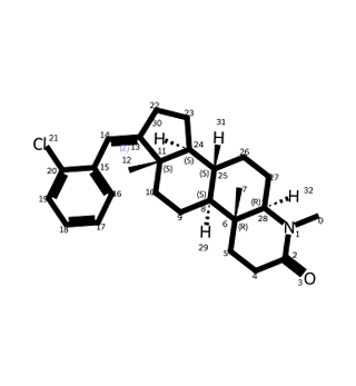 CN1C(=O)CC[C@]2(C)[C@H]3CC[C@]4(C)/C(=C\c5ccccc5Cl)CC[C@H]4[C@@H]3CC[C@@H]12